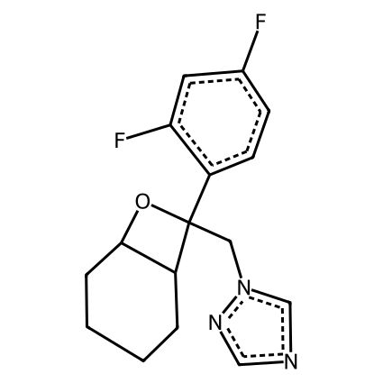 Fc1ccc(C2(Cn3cncn3)OC3CCCCC32)c(F)c1